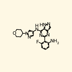 Nc1cccc(F)c1-c1nc(Nc2cnn(C3CCOCC3)c2)c2[nH]ncc2n1